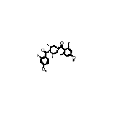 COc1ccc(C(=O)N2[C@H](C)CN(C(=O)c3c(C)cc(OC)cc3F)C[C@H]2C)c(F)c1